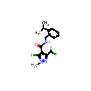 CC(C)c1ccccc1CNC(=O)c1c(C(F)F)nn(C)c1F